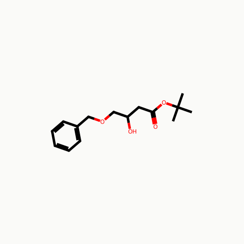 CC(C)(C)OC(=O)CC(O)COCc1ccccc1